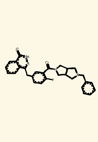 O=C(c1cc(Cc2n[nH]c(=O)c3ccccc23)ccc1F)N1CC2CN(Cc3ccccc3)CC2C1